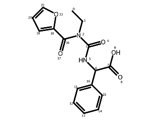 CCN(C(=O)NC(C(=O)O)c1ccccc1)C(=O)c1ccco1